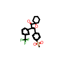 CS(=O)(=O)c1ccc(C2=C(c3cccc(C(F)(F)F)c3)C(=O)C3(CCCCC3)O2)cc1